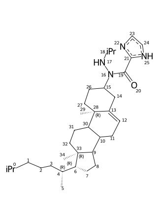 CC(C)CCC[C@@H](C)[C@H]1CCC2C3CC=C4CC(N(NC(C)C)C(=O)c5ncc[nH]5)CC[C@]4(C)C3CC[C@@]21C